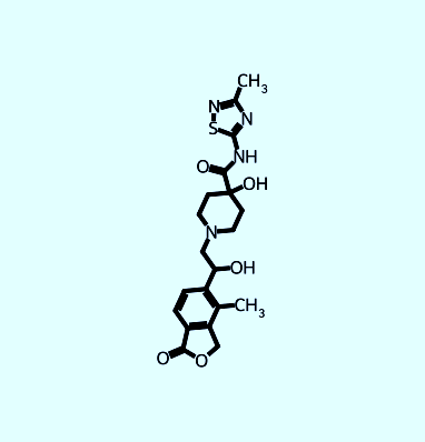 Cc1nsc(NC(=O)C2(O)CCN(CC(O)c3ccc4c(c3C)COC4=O)CC2)n1